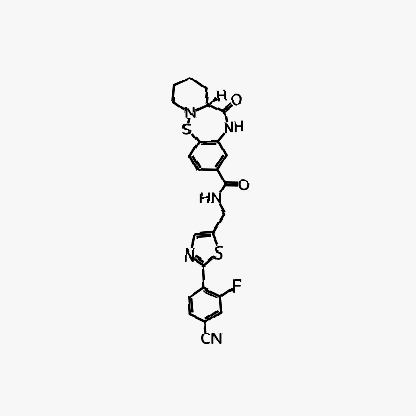 N#Cc1ccc(-c2ncc(CNC(=O)c3ccc4c(c3)NC(=O)[C@H]3CCCCN3S4)s2)c(F)c1